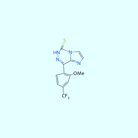 COc1cc(C(F)(F)F)ccc1-c1n[nH]c(=S)n2ccnc12